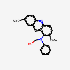 COc1ccc2nc3ccc(OC)c(N(CO)c4ccccc4)c3cc2c1